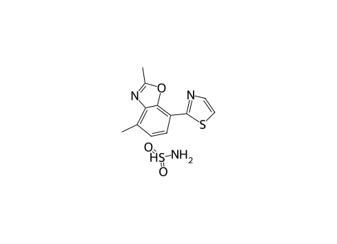 Cc1nc2c(C)ccc(-c3nccs3)c2o1.N[SH](=O)=O